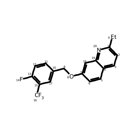 CCc1ccc2ccc(OCc3ccc(F)c(C(F)(F)F)c3)cc2n1